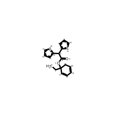 CCC1(OC(=O)C(c2cccs2)c2cccs2)C=CC=CC1